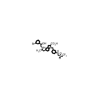 CC(Cc1ccc2c(c1)cc(C(=O)O)n2Cc1cccc(NCS(=O)(=O)CC(F)(F)F)c1)NCC(O)c1cccc(Br)c1